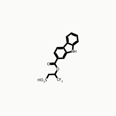 O=C(OC(CS(=O)(=O)O)C(F)(F)F)c1ccc2c(c1)[nH]c1ccccc12